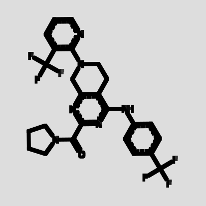 O=C(c1nc2c(c(Nc3ccc(C(F)(F)F)cc3)n1)CCN(c1ncccc1C(F)(F)F)C2)N1CCCC1